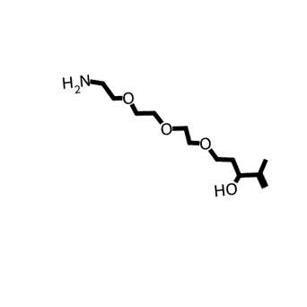 C=C(C)C(O)CCOCCOCCOCCN